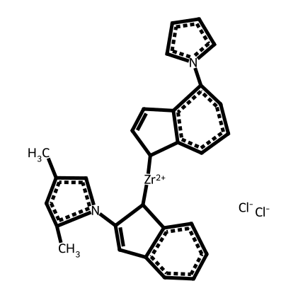 Cc1cc(C)n(C2=Cc3ccccc3[CH]2[Zr+2][CH]2C=Cc3c2cccc3-n2cccc2)c1.[Cl-].[Cl-]